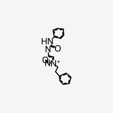 O=C([N-]c1c[n+](CCc2ccccc2)no1)Nc1ccccc1